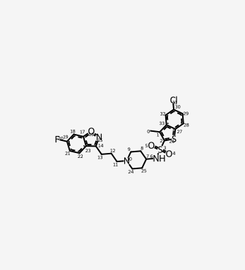 Cc1c(S(=O)(=O)NC2CCN(CCCc3noc4cc(F)ccc34)CC2)sc2ccc(Cl)cc12